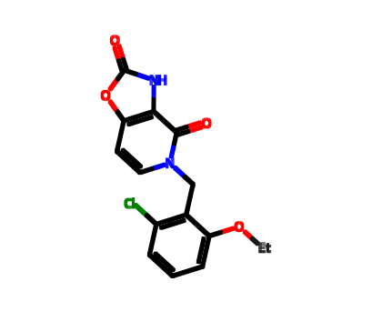 CCOc1cccc(Cl)c1Cn1ccc2oc(=O)[nH]c2c1=O